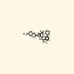 CC(NC(=O)c1sc(C(O)CN2CCN(C)CC2)nc1C(F)(F)F)c1cccc(N2CCOCC2)c1